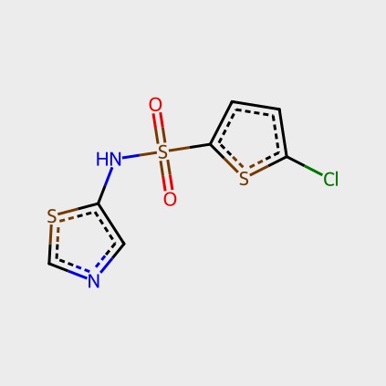 O=S(=O)(Nc1cncs1)c1ccc(Cl)s1